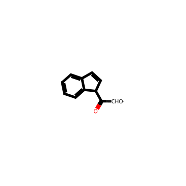 O=[C]C(=O)C1C=Cc2ccccc21